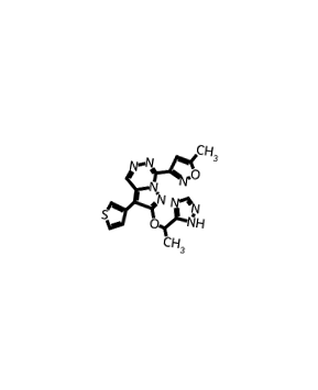 Cc1cc(-c2nncc3c(-c4ccsc4)c(OC(C)c4ncn[nH]4)nn23)no1